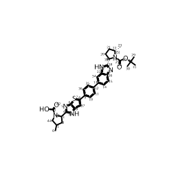 CC1CC(c2nc3sc(-c4ccc(-c5ccc6nc([C@@H]7CC[C@H](C)N7C(=O)OC(C)(C)C)[nH]c6c5)cc4)cc3[nH]2)N(C(=O)O)C1